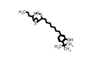 CCCC1SSSC(CCCCCCCc2ccc(C(C)(C)C)c(O)c2)C2CC1S2